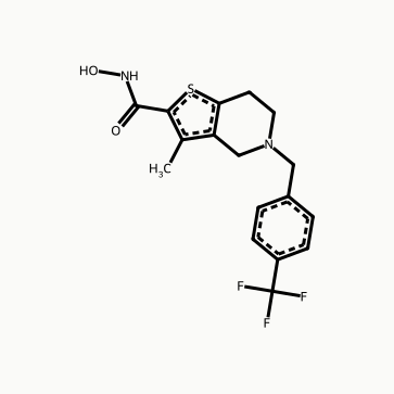 Cc1c(C(=O)NO)sc2c1CN(Cc1ccc(C(F)(F)F)cc1)CC2